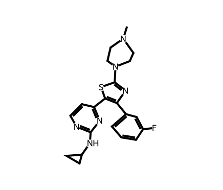 CN1CCN(c2nc(-c3cccc(F)c3)c(-c3ccnc(NC4CC4)n3)s2)CC1